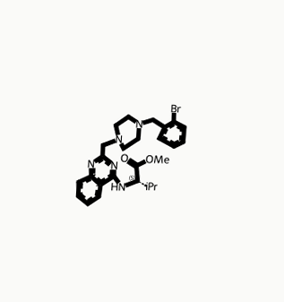 COC(=O)[C@@H](Nc1nc(CN2CCN(Cc3ccccc3Br)CC2)nc2ccccc12)C(C)C